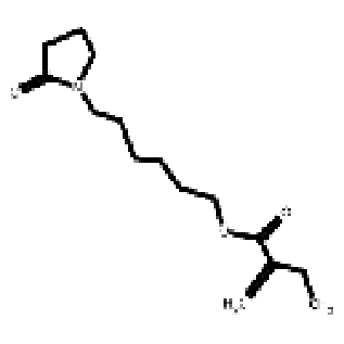 C=C(CC)C(=O)OCCCCCCN1CCCC1=O